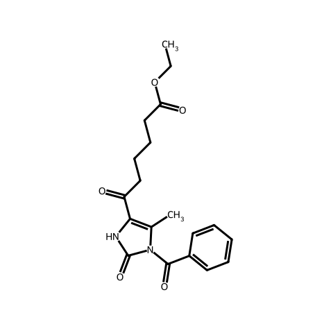 CCOC(=O)CCCCC(=O)c1[nH]c(=O)n(C(=O)c2ccccc2)c1C